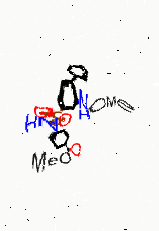 COCNc1cc(S(=O)(=O)N[C@H]2CC[C@H](C(=O)OC)CC2)ccc1-c1ccccc1